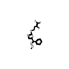 CO/N=C(\c1ccccc1)c1cnc(SCCC(F)=C(F)F)s1